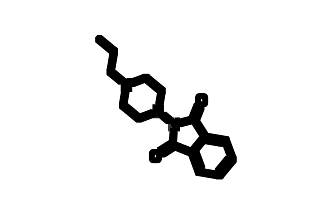 CCCN1CCN(N2C(=O)c3ccccc3C2=O)CC1